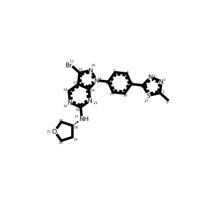 Cc1nnc(-c2ccc(-n3nc(Br)c4cnc(N[C@@H]5CCOC5)nc43)cc2)s1